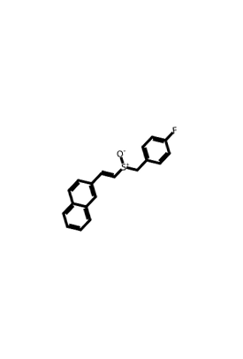 [O-][S+](C=Cc1ccc2ccccc2c1)Cc1ccc(F)cc1